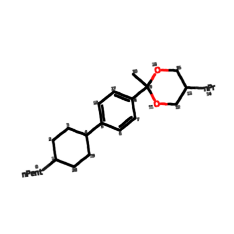 CCCCCC1CCC(c2ccc(C3(C)OCC(CCC)CO3)cc2)CC1